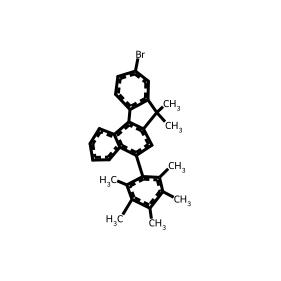 Cc1c(C)c(C)c(-c2cc3c(c4ccccc24)-c2ccc(Br)cc2C3(C)C)c(C)c1C